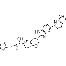 CC(NCCc1cccs1)c1ccc2c(c1)CC(c1nc3cc(-c4ccnc(N)n4)ccc3[nH]1)CO2